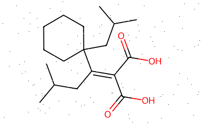 CC(C)CC(=C(C(=O)O)C(=O)O)C1(CC(C)C)CCCCC1